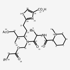 CCC(C)C(NC(=O)C1CCCCN1C)C(=O)N(COC(=O)CC(C)C)C(CCc1nc(C(=O)O)cs1)C(C)COC(C)=O